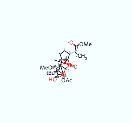 COC(=O)C(C)[C@H]1CCC23C4OC(=O)C12OC1OC(O)[C@H](OC)C13[C@H](C(C)(C)C)[C@H]4OC(C)=O